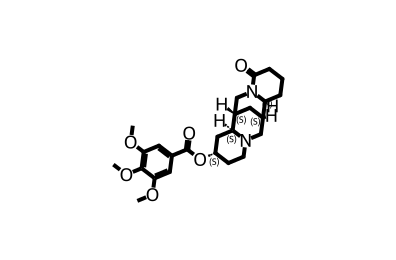 COc1cc(C(=O)O[C@H]2CCN3C[C@@H]4C[C@@H](CN5C(=O)CCC[C@H]45)[C@@H]3C2)cc(OC)c1OC